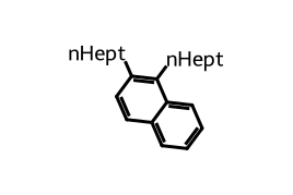 CCCCCCCc1ccc2ccccc2c1CCCCCCC